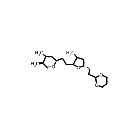 C=C(I)C(C)C[C@H](O)CC[C@@H]1O[C@@H](CCC2OCCCO2)CC1C